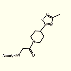 Cc1noc(C2CCN(C(=O)CN=[N+]=[N-])CC2)n1